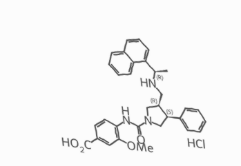 COc1cc(C(=O)O)ccc1NC(=O)N1C[C@@H](CN[C@H](C)c2cccc3ccccc23)[C@@H](c2ccccc2)C1.Cl